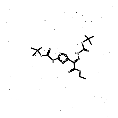 CCOC(=O)/C(=N/NC(=O)OC(C)(C)C)c1csc(NC(=O)OC(C)(C)C)n1